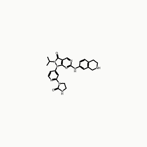 CC(C)n1c(=O)c2cnc(Nc3ccc4c(c3)CNCC4)nc2n1-c1ccnc(N2CCNC2=O)c1